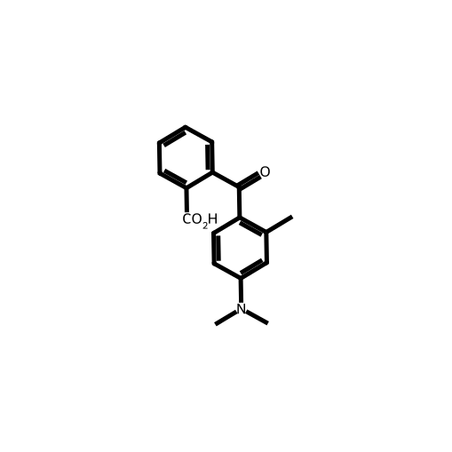 Cc1cc(N(C)C)ccc1C(=O)c1ccccc1C(=O)O